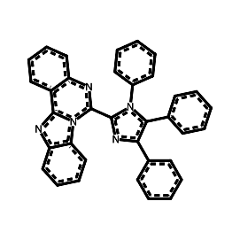 c1ccc(-c2nc(-c3nc4ccccc4c4nc5ccccc5n34)n(-c3ccccc3)c2-c2ccccc2)cc1